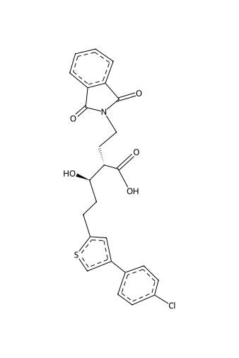 O=C(O)[C@@H](CCN1C(=O)c2ccccc2C1=O)[C@H](O)CCc1cc(-c2ccc(Cl)cc2)cs1